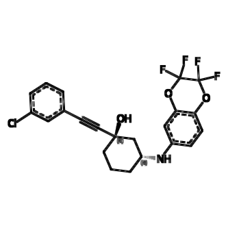 O[C@]1(C#Cc2cccc(Cl)c2)CCC[C@@H](Nc2ccc3c(c2)OC(F)(F)C(F)(F)O3)C1